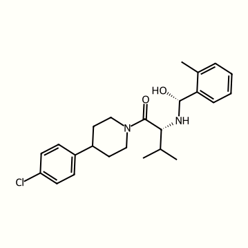 Cc1ccccc1[C@@H](O)N[C@@H](C(=O)N1CCC(c2ccc(Cl)cc2)CC1)C(C)C